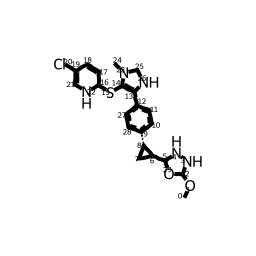 COC1NNC(C2C[C@@H]2c2ccc(C3=C(SC4C=CC(Cl)=CN4)N(C)CN3)cc2)O1